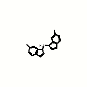 Cc1ccc2c(c1)C([SiH2]C1C=Cc3ccc(C)cc31)C=C2